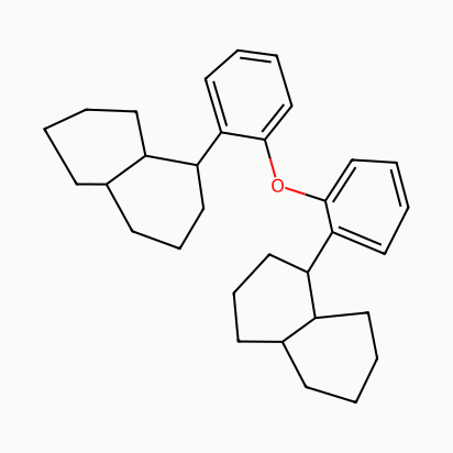 c1ccc(C2CCCC3CCCCC32)c(Oc2ccccc2C2CCCC3CCCCC32)c1